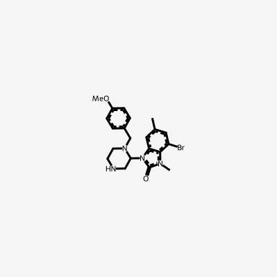 COc1ccc(CN2CCNCC2n2c(=O)n(C)c3c(Br)cc(C)cc32)cc1